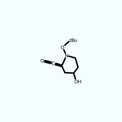 CC(C)(C)ON1CCC(O)CC1=C=O